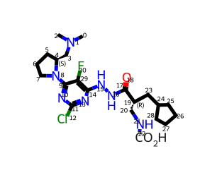 CN(C)C[C@@H]1CCCN1c1nc(Cl)nc(NNC(=O)[C@@H](CNC(=O)O)CC2CCCC2)c1F